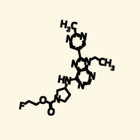 CCn1c(-c2cnc(C)nc2)nc2c(N[C@H]3CCN(C(=O)OCCF)C3)ncnc21